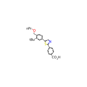 CCCOCc1ccc(-c2cnc(-c3ccc(C(=O)O)cc3)s2)cc1C(C)(C)C